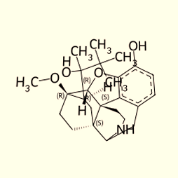 CO[C@]12CC[C@@]3(C[C@@H]1C(C)(O)C(C)(C)C)C1Cc4ccc(O)c5c4[C@@]3(CCN1)[C@H]2O5